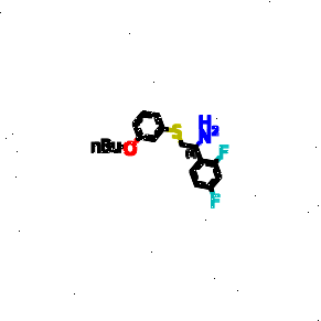 CCCCOc1cccc(SC[C@H](N)c2ccc(F)cc2F)c1